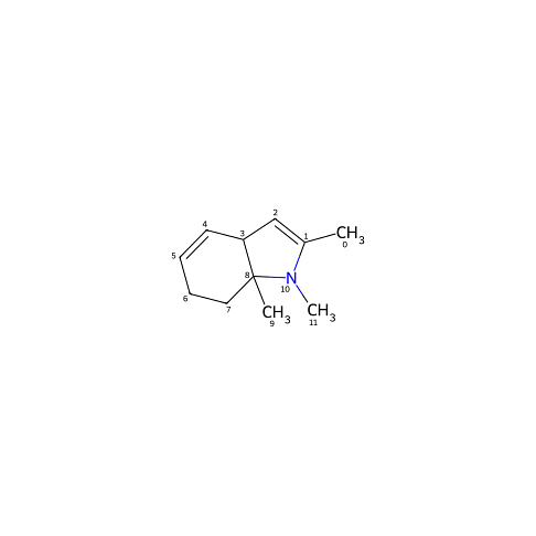 CC1=CC2C=CCCC2(C)N1C